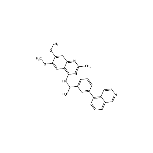 COc1cc2nc(C)nc(NC(C)c3cccc(-c4cccc5cnccc45)c3)c2cc1OC